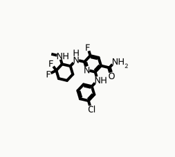 CNC1C(Nc2nc(Nc3cccc(Cl)c3)c(C(N)=O)cc2F)CCCC1(F)F